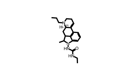 CCCN1CCC=C2c3cccc4c3C(C[C@H]21)C(C)N4NC(=O)NCC